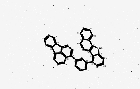 c1cc(-c2ccc3c4c(cccc24)-c2ccccc2-3)cc(-c2cccc3oc4c5ccccc5ccc4c23)c1